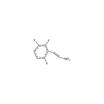 O=[N+]([O-])C=Cc1c(F)ccc(F)c1F